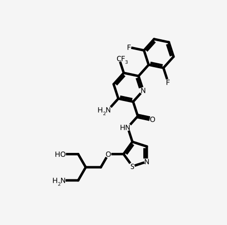 NCC(CO)COc1sncc1NC(=O)c1nc(-c2c(F)cccc2F)c(C(F)(F)F)cc1N